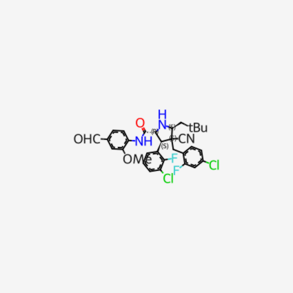 COc1cc(C=O)ccc1NC(=O)[C@@H]1N[C@@H](CC(C)(C)C)[C@](C#N)(Cc2ccc(Cl)cc2F)[C@H]1c1cccc(Cl)c1F